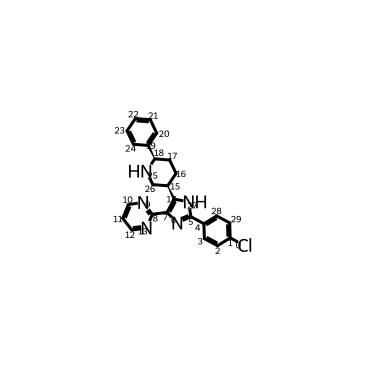 Clc1ccc(-c2nc(-c3ncccn3)c([C@@H]3CC[C@H](c4ccccc4)NC3)[nH]2)cc1